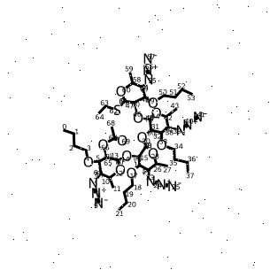 CCCCOC1[C@H](N=[N+]=[N-])C(C)O[C@H](O[C@@H]2C(OCCCC)[C@H](N=[N+]=[N-])C(C)O[C@@H]2O[C@@H]2C(OCCCC)[C@H](N=[N+]=[N-])C(C)O[C@@H]2O[C@@H]2C(OCCCC)[C@H](N=[N+]=[N-])C(C)O[C@@H]2SCC)[C@@H]1OC(C)=O